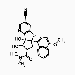 COc1ccc([C@@]23Oc4cc(C#N)cnc4[C@]2(O)[C@H](O)[C@@H](C(=O)N(C)C)[C@H]3c2ccccc2)cc1